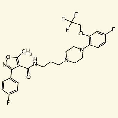 Cc1onc(-c2ccc(F)cc2)c1C(=O)NCCCN1CCN(c2ccc(F)cc2OCC(F)(F)F)CC1